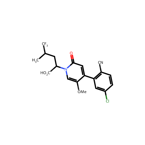 COc1cn(C(CC(C)C(F)(F)F)C(=O)O)c(=O)cc1-c1cc(Cl)ccc1C#N